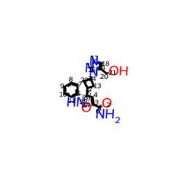 NC(=O)C1=C[C@](c2ccccc2)(C2CC(n3nncc3CO)C2)NO1